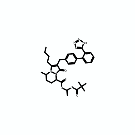 CCCCc1c(Cc2ccc(-c3ccccc3-c3nnn[nH]3)cc2)c(=O)n2n1C(C)CCC2C(=O)OC(C)OC(=O)C(C)(C)C